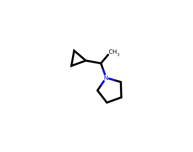 C[C](C1CC1)N1CCCC1